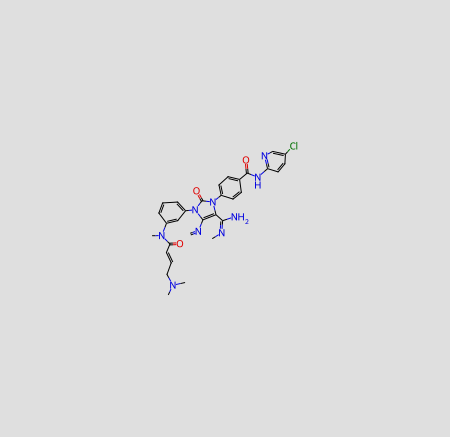 C=Nc1c(/C(N)=N\C)n(-c2ccc(C(=O)Nc3ccc(Cl)cn3)cc2)c(=O)n1-c1cccc(N(C)C(=O)/C=C/CN(C)C)c1